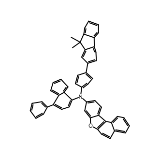 CC1(C)c2ccccc2-c2ccc(-c3ccc(N(c4ccc5c(c4)oc4ccc6ccccc6c45)c4ccc(-c5ccccc5)c5ccccc45)cc3)cc21